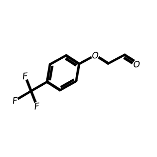 O=CCOc1ccc(C(F)(F)F)cc1